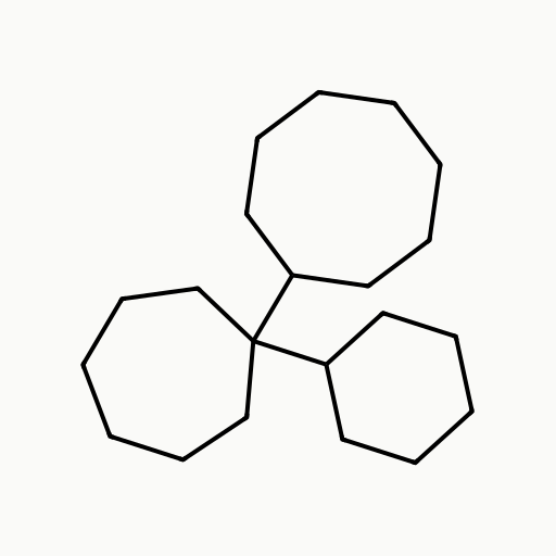 C1CCCC(C2(C3CCCCC3)CCCCCC2)CCC1